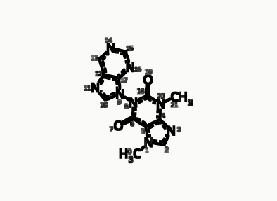 Cn1cnc2c1c(=O)n(-n1cnc3cncnc31)c(=O)n2C